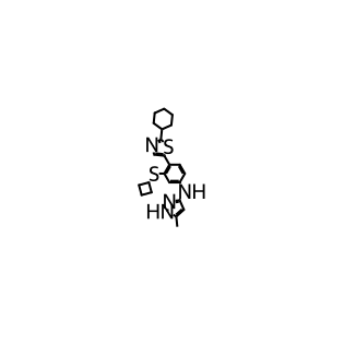 Cc1cc(Nc2ccc(-c3cnc(C4CCCCC4)s3)c(SC3CCC3)c2)n[nH]1